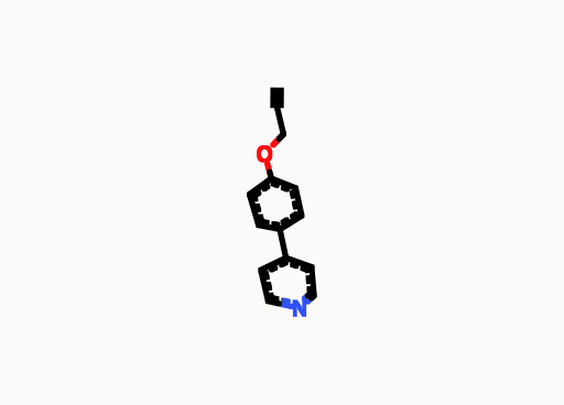 C#CCOc1ccc(-c2ccncc2)cc1